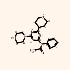 NC(=O)N(c1ccccc1)c1nc(C2CCOCC2)nc(N2CCOCC2)n1